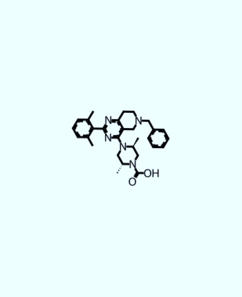 Cc1cccc(C)c1-c1nc2c(c(N3C[C@@H](C)N(C(=O)O)C[C@@H]3C)n1)CN(Cc1ccccc1)CC2